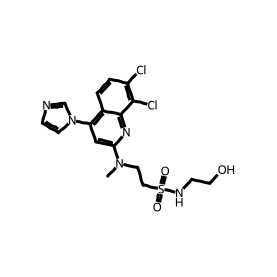 CN(CCS(=O)(=O)NCCO)c1cc(-n2ccnc2)c2ccc(Cl)c(Cl)c2n1